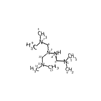 CN(C)CNN(CN(C)C)CN(C)C